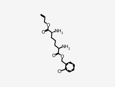 C=CCOC(=O)[C@@H](N)CCCC(N)C(=O)OCc1ccccc1Cl